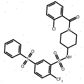 O=C(c1ccccc1Cl)N1CCC(NS(=O)(=O)c2cc(S(=O)(=O)c3ccccc3)ccc2C(F)(F)F)CC1